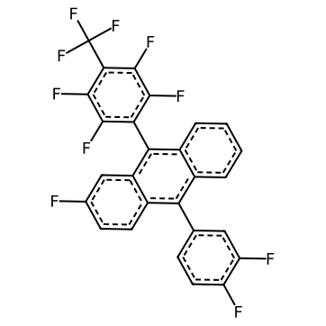 Fc1ccc2c(-c3ccc(F)c(F)c3)c3ccccc3c(-c3c(F)c(F)c(C(F)(F)F)c(F)c3F)c2c1